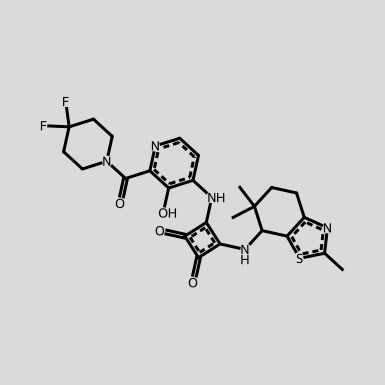 Cc1nc2c(s1)C(Nc1c(Nc3ccnc(C(=O)N4CCC(F)(F)CC4)c3O)c(=O)c1=O)C(C)(C)CC2